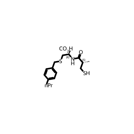 CCCc1ccc(CSC[C@H](NC(=O)[C@H](C)CS)C(=O)O)cc1